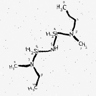 CCN(C)[SiH2]N[SiH2]N(C)CC